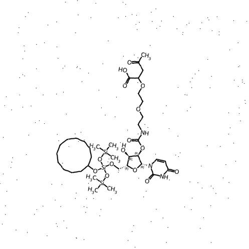 CC(=O)CC(OCCOCCNC(=O)O[C@@H]1[C@H](O)[C@@H](CO[Si](OC2CCCCCCCCCCC2)(O[Si](C)(C)C)O[Si](C)(C)C)O[C@H]1n1ccc(=O)[nH]c1=O)C(=O)O